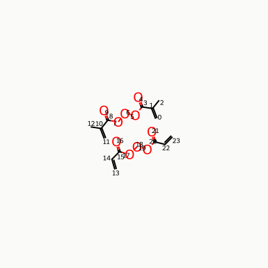 C=C(C)C(=O)OOOC(=O)C(=C)C.C=CC(=O)OOOC(=O)C=C